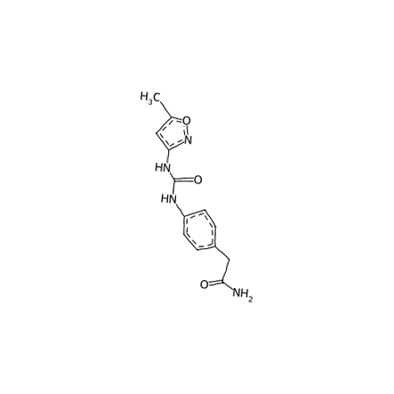 Cc1cc(NC(=O)Nc2ccc(CC(N)=O)cc2)no1